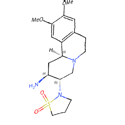 COc1cc2c(cc1OC)[C@@H]1C[C@H](N)[C@@H](N3CCCS3(=O)=O)CN1CC2